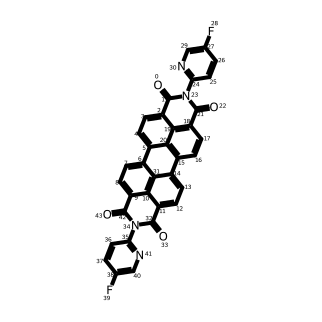 O=C1c2ccc3c4ccc5c6c(ccc(c7ccc(c2c37)C(=O)N1c1ccc(F)cn1)c64)C(=O)N(c1ccc(F)cn1)C5=O